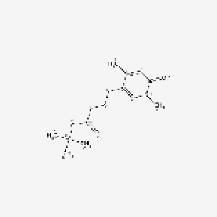 Cc1cc(=O)n(C)cc1CCCC(=O)OC(C)(C)C